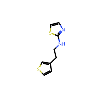 c1csc(NCCc2ccsc2)n1